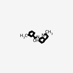 Cc1cccc(C(=O)Nc2cccc3ccc(C)nc23)c1